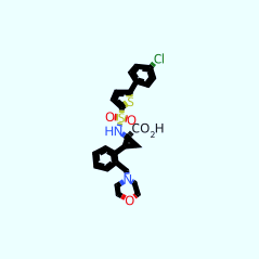 O=C(O)C1(NS(=O)(=O)c2ccc(-c3ccc(Cl)cc3)s2)CC1c1ccccc1CN1CCOCC1